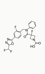 O=C(O)N1CC(F)(C(=O)N(Cc2ccc(-c3nnc(C(F)F)o3)cc2F)c2ccccc2)C1